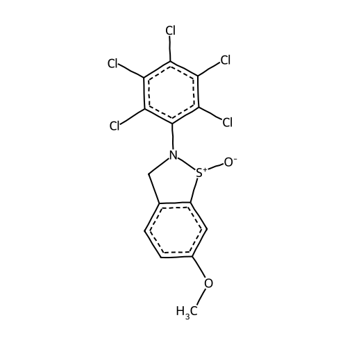 COc1ccc2c(c1)[S+]([O-])N(c1c(Cl)c(Cl)c(Cl)c(Cl)c1Cl)C2